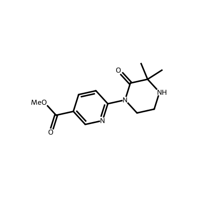 COC(=O)c1ccc(N2CCNC(C)(C)C2=O)nc1